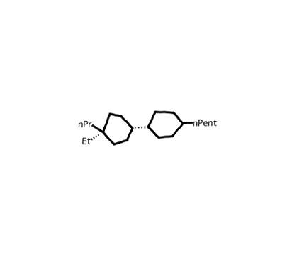 CCCCCC1CCC([C@H]2CC[C@](CC)(CCC)CC2)CC1